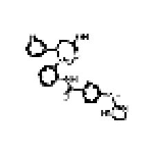 O=C(O)CC(c1cccnc1)[S+]([O-])c1ccccc1NC(=O)c1ccc(NC2=NCCN2)cc1